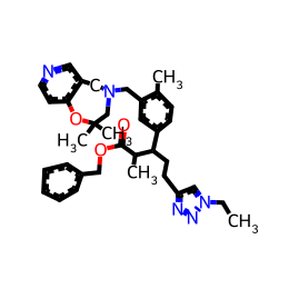 CCn1cc(CCC(c2ccc(C)c(CN3Cc4cnccc4OC(C)(C)C3)c2)C(C)C(=O)OCc2ccccc2)nn1